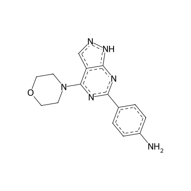 Nc1ccc(-c2nc(N3CCOCC3)c3cn[nH]c3n2)cc1